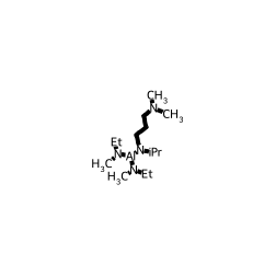 CC[N](C)[Al]([N](C)CC)[N](CCCN(C)C)C(C)C